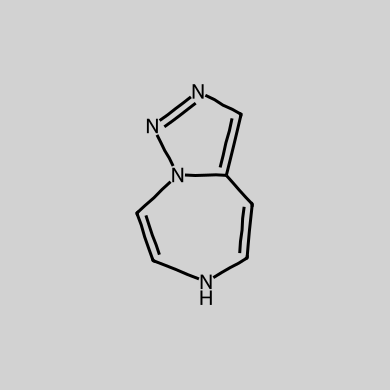 C1=Cc2cnnn2C=CN1